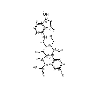 C[C@@H]1C[C@@H](O)c2ncnc(N3CCN(C(=O)[C@@H](c4ccc(Cl)cc4)[C@@H]4CCCN4CC(F)F)CC3)c21